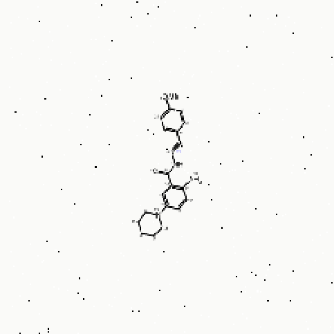 COc1ccc(/C=N/NC(=O)c2cc(N3CCCCC3)ccc2N)cc1